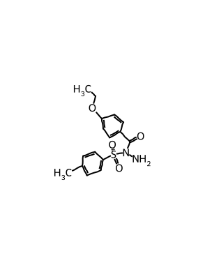 CCOc1ccc(C(=O)N(N)S(=O)(=O)c2ccc(C)cc2)cc1